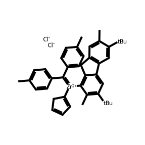 Cc1ccc([C](c2ccc(C)cc2)=[Zr+2]([C]2=CC=CC2)[c]2c(C)c(C(C)(C)C)cc3c2Cc2cc(C)c(C(C)(C)C)cc2-3)cc1.[Cl-].[Cl-]